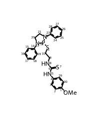 COc1ccc(NC(=S)NCCSP2N(c3ccccc3)CCN2c2ccccc2)cc1